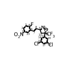 O=[N+]([O-])c1ccc(F)c(/C=C/C2=NOC(c3cc(Cl)cc(Cl)c3)(C(F)(F)F)C2)c1